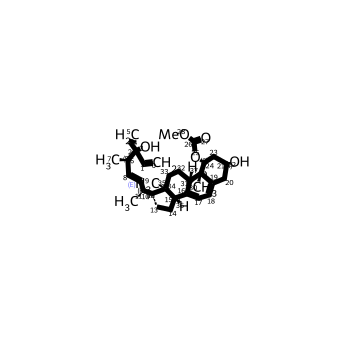 C=CC(O)(C=C)[C@H](C)/C=C/[C@@H](C)[C@H]1CC[C@H]2C3=CC=C4C[C@@H](O)C[C@H](OC(=O)OC)[C@@]4(C)[C@H]3CC[C@]12C